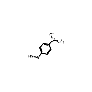 C[S+]([O-])c1ccc(SS)cc1